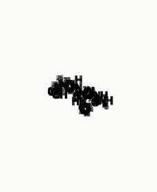 CCNC(=O)Nc1cc(Nc2ccccc2)c(C(=O)Nc2ccc(C(C)C(C)(C)C(=O)O)cc2)cn1